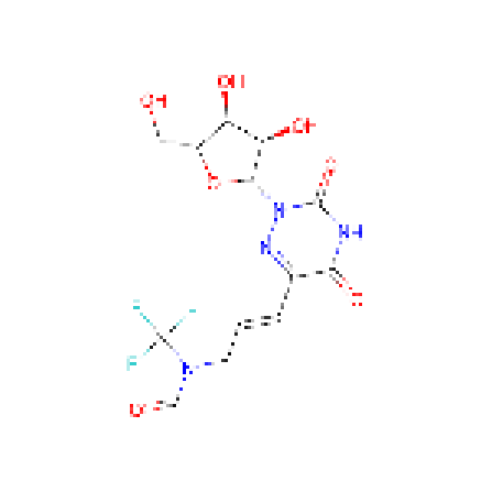 O=CN(C/C=C/c1nn([C@@H]2O[C@H](CO)[C@@H](O)[C@H]2O)c(=O)[nH]c1=O)C(F)(F)F